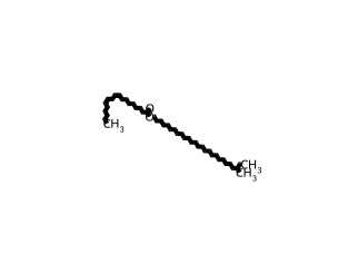 CCCCC/C=C\C/C=C\CCCCCCCC(=O)OCCCCCCCCCCCCCCCCCCCCCCCCC(C)CC